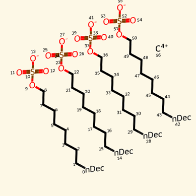 CCCCCCCCCCCCCCCCCCOS(=O)(=O)[O-].CCCCCCCCCCCCCCCCCCOS(=O)(=O)[O-].CCCCCCCCCCCCCCCCCCOS(=O)(=O)[O-].CCCCCCCCCCCCCCCCCCOS(=O)(=O)[O-].[C+4]